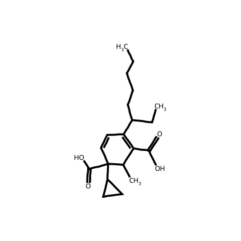 CCCCCC(CC)C1=C(C(=O)O)C(C)C(C(=O)O)(C2CC2)C=C1